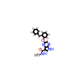 CCCNC(=O)c1c[nH]c2ncc(Oc3ccccc3Cc3ccccc3)nc12